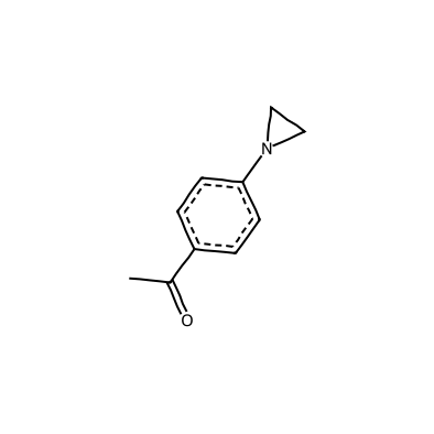 CC(=O)c1ccc(N2CC2)cc1